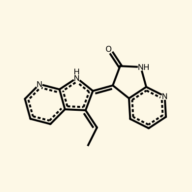 C/C=c1/c(=C2/C(=O)Nc3ncccc32)[nH]c2ncccc12